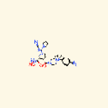 Cc1cc(C#N)ccc1N1CCN(C(=O)[C@H]2CCN(C(=NC#N)N3CCCC3)C[C@@H]2C(=O)NO)CC1